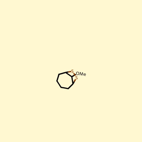 COC1C2CCCCC1SS2